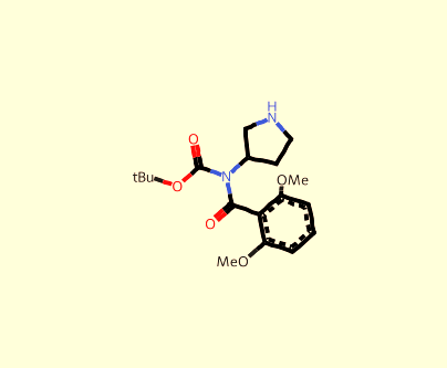 COc1cccc(OC)c1C(=O)N(C(=O)OC(C)(C)C)C1CCNC1